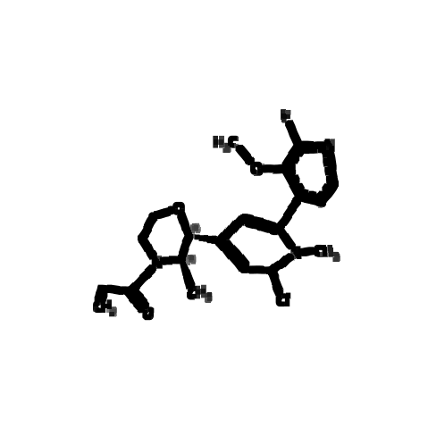 C=CC(=O)N1CCO[C@H](C2=CC(Cl)N(C)C(c3ccnc(F)c3OC)=C2)[C@H]1C